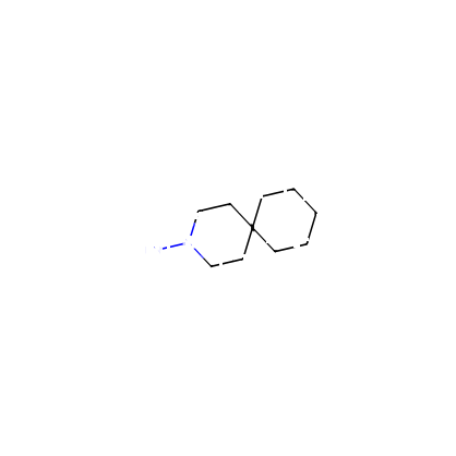 NN1CCC2(CCCCC2)CC1